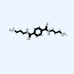 CCCCNC(=O)c1ccc(C(=O)NCCCC)cc1